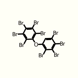 Brc1cc(Oc2c(Br)c(Br)c(Br)c(Br)c2Br)c(Br)c(Br)c1Br